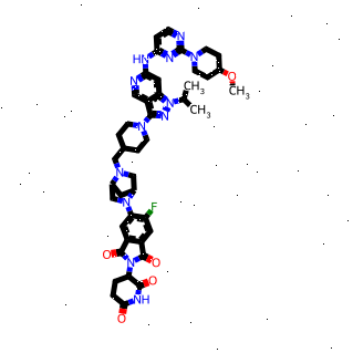 COC1CCN(c2nccc(Nc3cc4c(cn3)c(N3CCC(CN5CC6CC5CN6c5cc6c(cc5F)C(=O)N(C5CCC(=O)NC5=O)C6=O)CC3)nn4C(C)C)n2)CC1